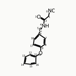 [C-]#[N+]CC(=O)NCc1ccc(Oc2ccccc2)cc1